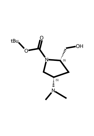 CN(C)[C@H]1C[C@@H](CO)N(C(=O)OC(C)(C)C)C1